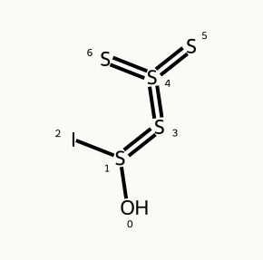 OS(I)=S=S(=S)=S